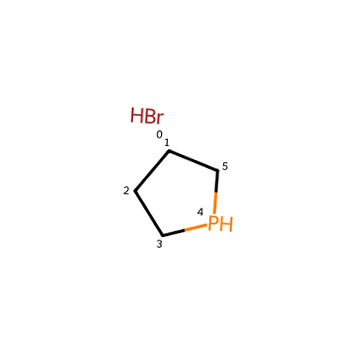 Br.C1CCPC1